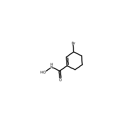 O=C(NO)C1=CC(Br)CCC1